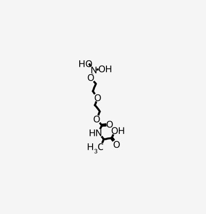 CC(NC(=O)OCCOCCON(O)O)C(=O)O